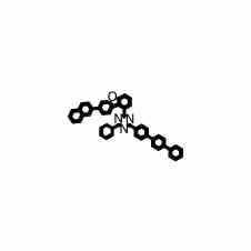 C1=CCC(c2nc(-c3ccc(-c4ccc(-c5ccccc5)cc4)cc3)nc(-c3cccc4oc5cc(-c6ccc7ccccc7c6)ccc5c34)n2)C=C1